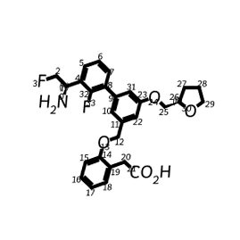 N[C@@H](CF)c1cccc(-c2cc(COc3ccccc3CC(=O)O)cc(OC[C@H]3CCCO3)c2)c1F